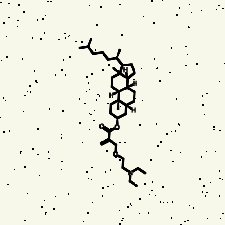 C=C(COCCN(CC)CC)C(=O)O[C@H]1CC[C@@]2(C)[C@H](CC[C@H]3[C@H]4CC[C@H]([C@H](C)CCCC(C)C)[C@@]4(C)CC[C@H]32)C1